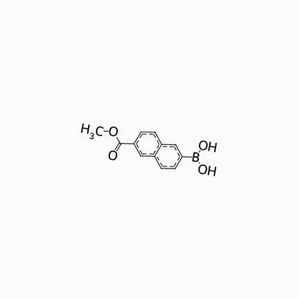 COC(=O)c1ccc2cc(B(O)O)ccc2c1